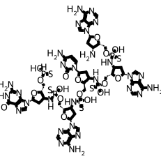 Nc1ccn([C@H]2CC(NP(O)(=S)OC[C@H]3O[C@@H](n4cnc5c(N)ncnc54)CC3NP(O)(=S)OC[C@H]3O[C@@H](n4cnc5c(N)ncnc54)C[C@H]3N)[C@@H](COP(O)(=S)NC3C[C@H](n4cnc5c(N)ncnc54)O[C@@H]3COP(O)(=S)NC3C[C@H](n4cnc5c(=O)[nH]c(N)nc54)O[C@@H]3CO[PH](O)=S)O2)c(=O)n1